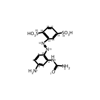 NC(=O)Nc1cc(N)ccc1N=Nc1cc(S(=O)(=O)O)ccc1S(=O)(=O)O